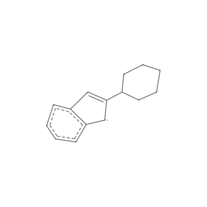 [CH]1C(C2CCCCC2)=Cc2ccccc21